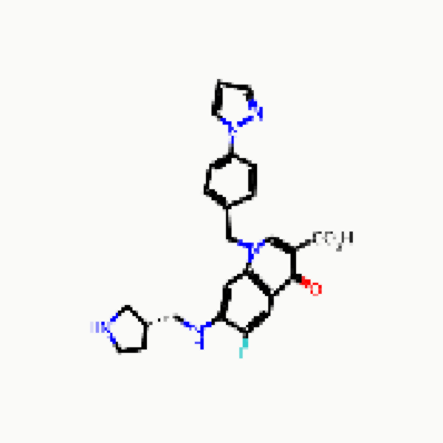 O=C(O)c1cn(Cc2ccc(-n3cccn3)cc2)c2cc(NC[C@@H]3CCNC3)c(F)cc2c1=O